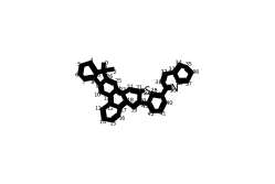 CC1(C)c2ccccc2-c2cc3c4ccccc4c4cc5c(cc4c3cc21)sc1c(-c2ccc3ccccc3n2)cccc15